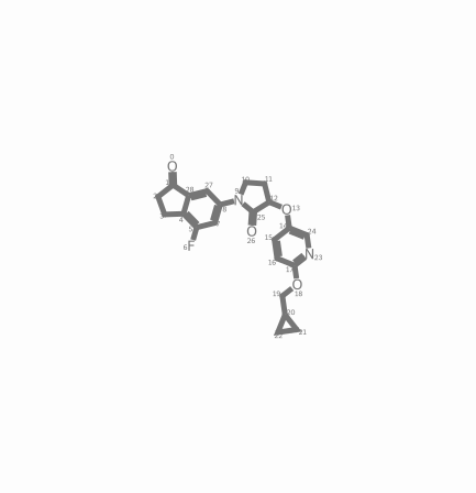 O=C1CCc2c(F)cc(N3CCC(Oc4ccc(OCC5CC5)nc4)C3=O)cc21